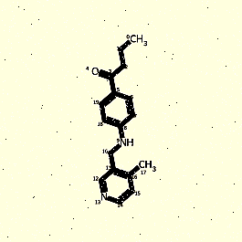 CCCC(=O)c1ccc(NCc2cnccc2C)cc1